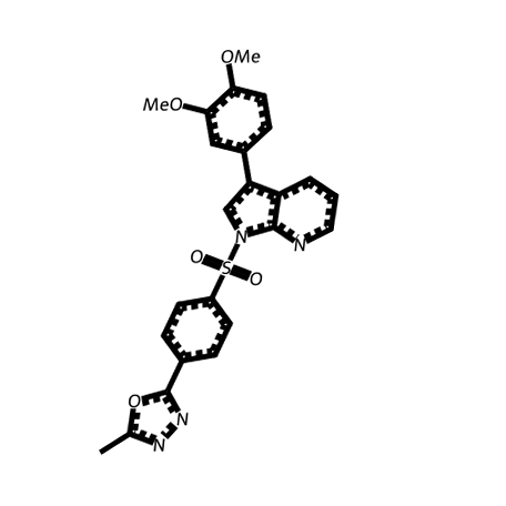 COc1ccc(-c2cn(S(=O)(=O)c3ccc(-c4nnc(C)o4)cc3)c3ncccc23)cc1OC